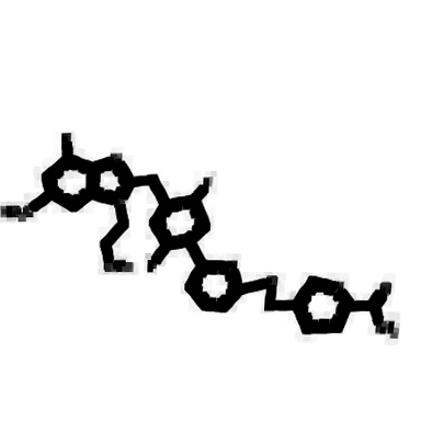 COCCn1c(Cc2cc(F)c(-c3cccc(OCc4ccc(C(N)=O)nc4)n3)cc2F)nc2c(F)cc(C(=O)O)cc21